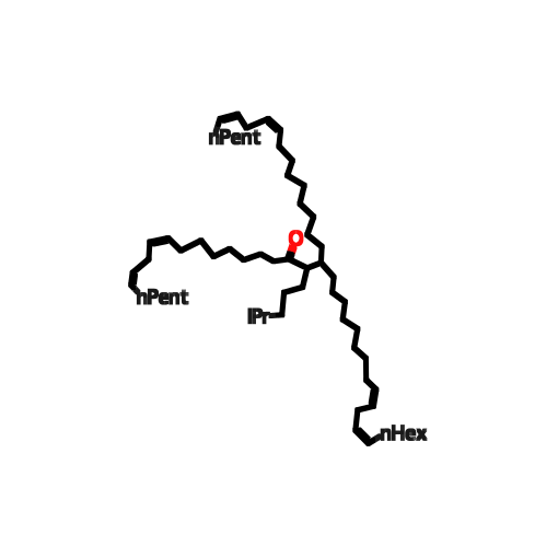 CCCCC/C=C\C/C=C\CCCCCCCCC(CCCCCCCC/C=C\C/C=C\CCCCCC)C(CCCC(C)C)C(=O)CCCCCCC/C=C\C/C=C\CCCCC